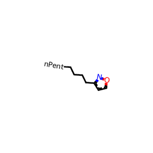 CCCCCCCCCc1ccon1